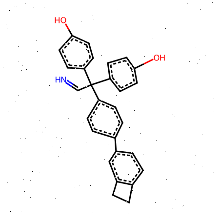 N=CC(c1ccc(O)cc1)(c1ccc(O)cc1)c1ccc(-c2ccc3c(c2)CC3)cc1